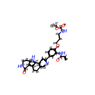 C=CC(=O)Nc1cc(-c2cc3c(cn2)CCc2c-3[nH]c3c2C(=O)NCC3)ccc1OCCCNC(=O)OC(C)(C)C